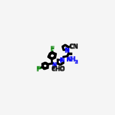 C=C(C(N)CN1CC[C@H](N(C=O)C(c2ccc(F)cc2)c2ccc(F)cc2)C1)N1CCCC1C#N